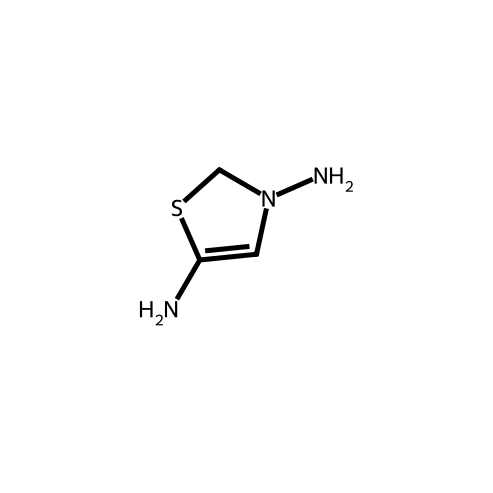 NC1=CN(N)CS1